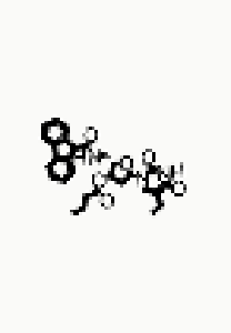 CCCC(=O)OC1C[C@@H](n2cc(CC)c(=O)[nH]c2=O)O[C@H]1CNC(=O)C1c2ccccc2-c2ccccc21